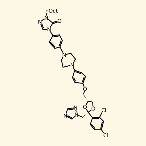 CCCCCCCCn1ncn(-c2ccc(N3CCN(c4ccc(OC[C@@H]5CO[C@@](Cn6cncn6)(c6ccc(Cl)cc6Cl)O5)cc4)CC3)cc2)c1=O